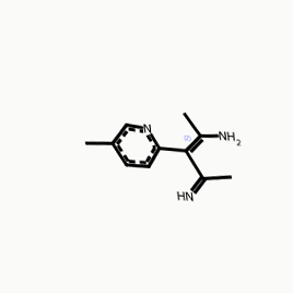 CC(=N)/C(=C(/C)N)c1ccc(C)cn1